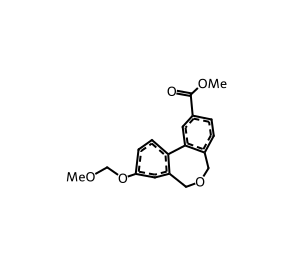 COCOc1ccc2c(c1)COCc1ccc(C(=O)OC)cc1-2